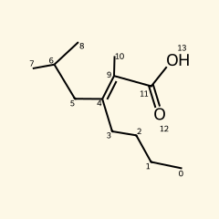 CCCCC(CC(C)C)=C(C)C(=O)O